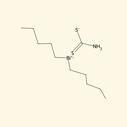 CCCC[CH2][Bi+][CH2]CCCC.NC(=S)[S-]